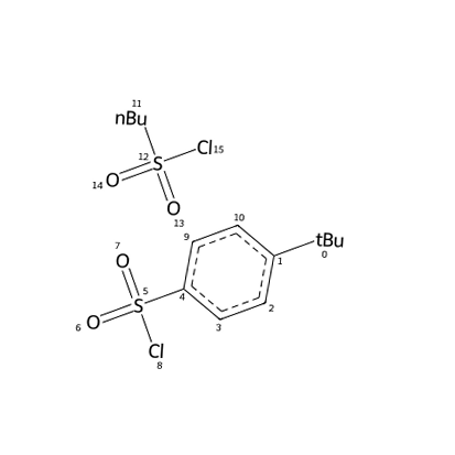 CC(C)(C)c1ccc(S(=O)(=O)Cl)cc1.CCCCS(=O)(=O)Cl